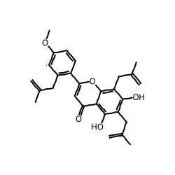 C=C(C)Cc1[c]c(OC)ccc1-c1cc(=O)c2c(O)c(CC(=C)C)c(O)c(CC(=C)C)c2o1